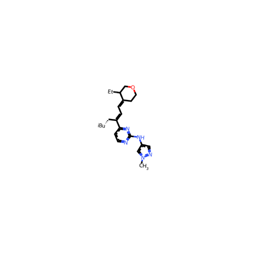 CCC1COCC/C1=C\C=C(/C[C@@H](C)CC)c1ccnc(Nc2cnn(C)c2)n1